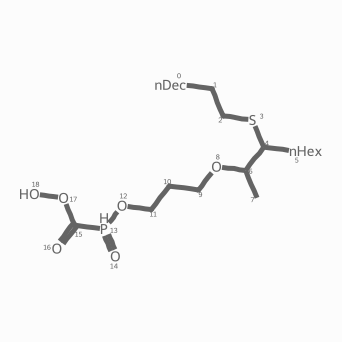 CCCCCCCCCCCCSC(CCCCCC)C(C)OCCCO[PH](=O)C(=O)OO